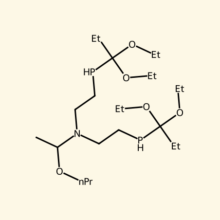 CCCOC(C)N(CCPC(CC)(OCC)OCC)CCPC(CC)(OCC)OCC